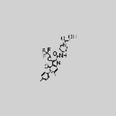 Cc1ccc(-n2c(C)cc3c(c(OCC(F)(F)F)c(C(=O)NC4CCN(C(=O)CO)CC4)n3C)c2=O)cc1